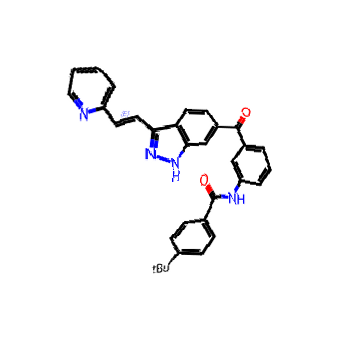 CC(C)(C)c1ccc(C(=O)Nc2cccc(C(=O)c3ccc4c(/C=C/c5ccccn5)n[nH]c4c3)c2)cc1